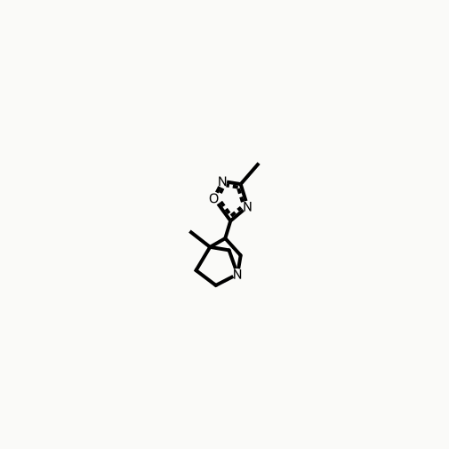 Cc1noc(C2CN3CCC2(C)C3)n1